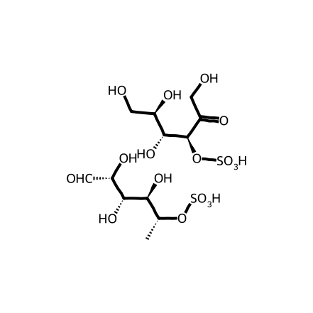 C[C@@H](OS(=O)(=O)O)[C@H](O)[C@H](O)[C@@H](O)C=O.O=C(CO)[C@@H](OS(=O)(=O)O)[C@H](O)[C@H](O)CO